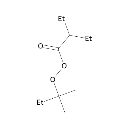 CCC(CC)C(=O)OOC(C)(C)CC